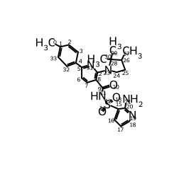 Cc1ccc(-c2ccc(C(=O)NS(=O)(=O)c3cccnc3N)c(N3CCC(C)C3(C)C)n2)cc1